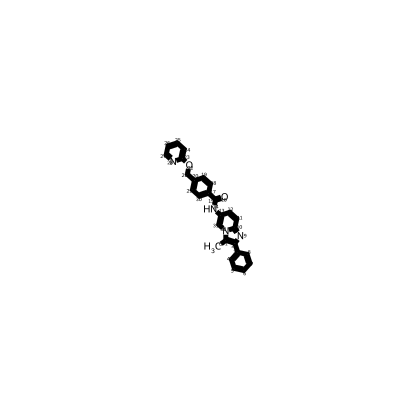 Cc1c(-c2ccccc2)nc2ccc(NC(=O)c3ccc(COc4ccccn4)cc3)cn12